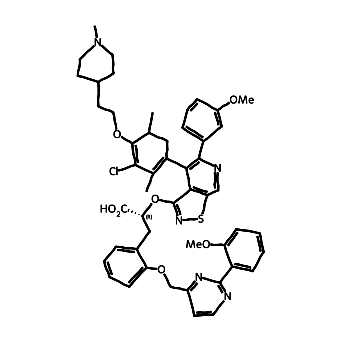 COc1cccc(-c2ncc3snc(O[C@H](Cc4ccccc4OCc4ccnc(-c5ccccc5OC)n4)C(=O)O)c3c2C2=C(C)C(Cl)=C(OCCC3CCN(C)CC3)C(C)C2)c1